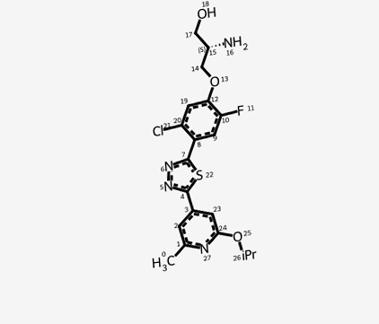 Cc1cc(-c2nnc(-c3cc(F)c(OC[C@@H](N)CO)cc3Cl)s2)cc(OC(C)C)n1